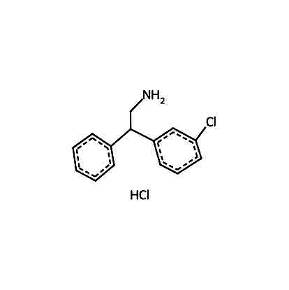 Cl.NCC(c1ccccc1)c1cccc(Cl)c1